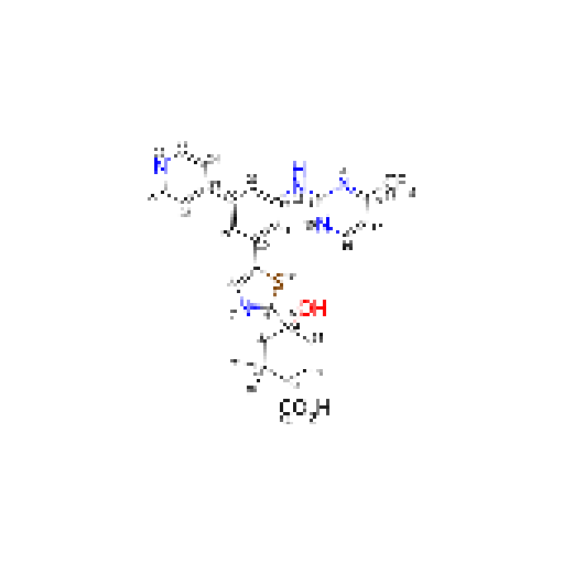 CC1(C)CC(O)(c2ncc(-c3cc(Nc4nccc(C(F)(F)F)n4)cc(-c4ccncc4)c3)s2)CCC1C(=O)O